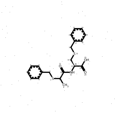 CC(SCc1ccccc1)C(=O)N[C@@H](CSCc1ccccc1)C(=O)O